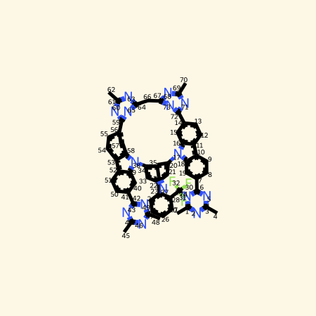 Cc1nc(C)nc(-c2ccc3c4ccc5cc4n(c3c2)-c2cc(-c3ccccc3C(F)(F)F)cc(c2C#N)-n2c3cc(-c4nc(C)nc(C)n4)ccc3c3ccc(cc32)-c2nc(C)nc(n2)Cc2nc(C)nc-5n2)n1